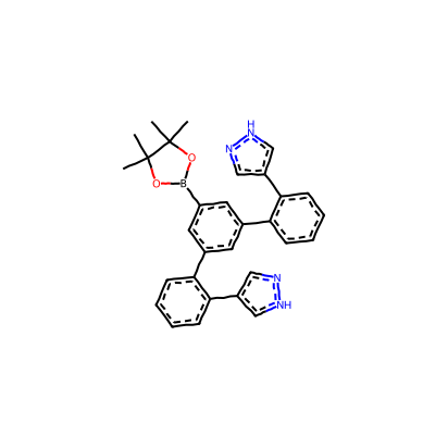 CC1(C)OB(c2cc(-c3ccccc3-c3cn[nH]c3)cc(-c3ccccc3-c3cn[nH]c3)c2)OC1(C)C